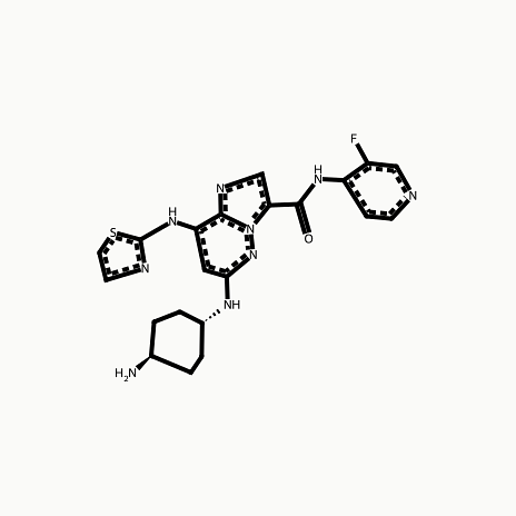 N[C@H]1CC[C@H](Nc2cc(Nc3nccs3)c3ncc(C(=O)Nc4ccncc4F)n3n2)CC1